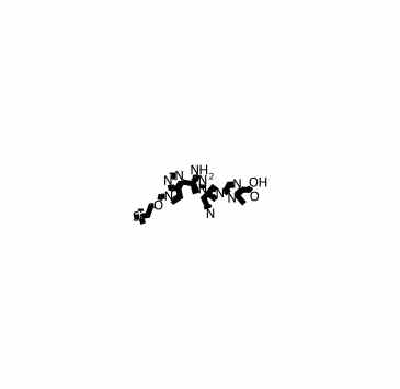 Cc1nc(N2CC(CC#N)(n3cc(-c4ncnc5c4ccn5COCC[Si](C)(C)C)c(N)n3)C2)cnc1C(=O)O